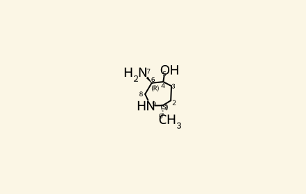 C[C@H]1CCC(O)[C@H](N)CN1